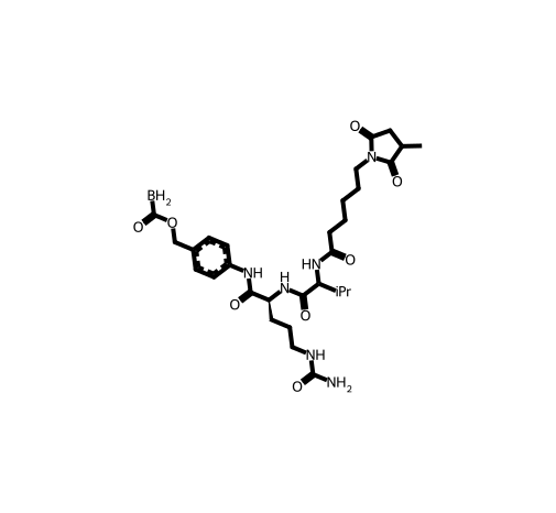 BC(=O)OCc1ccc(NC(=O)[C@H](CCCNC(N)=O)NC(=O)C(NC(=O)CCCCCN2C(=O)CC(C)C2=O)C(C)C)cc1